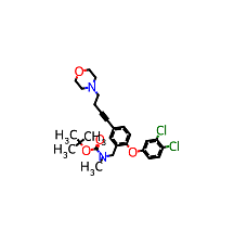 CN(Cc1cc(C#CCCN2CCOCC2)ccc1Oc1ccc(Cl)c(Cl)c1)C(=O)OC(C)(C)C